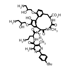 Cc1nc(-c2ccc(C(C)(C)C)cc2)nc(N)c1C(=O)NC(CCN)C(=O)N(C)C1C(=O)NC(C)C(=O)NC(C(=O)O)Cc2ccc(OCC(O)CN)c(c2)-c2cc1cc(OCC(O)CN)c2O